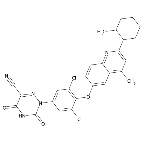 Cc1cc(C2CCCCC2C)nc2ccc(Oc3c(Cl)cc(-n4nc(C#N)c(=O)[nH]c4=O)cc3Cl)cc12